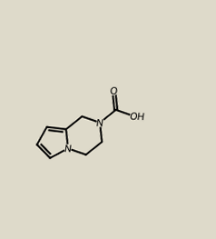 O=C(O)N1CCn2cccc2C1